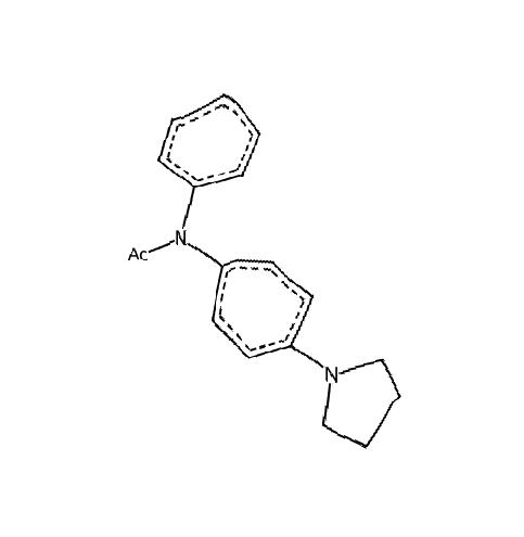 CC(=O)N(c1ccccc1)c1ccc(N2CCCC2)cc1